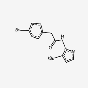 CC(C)(C)c1ccnn1NC(=O)Cc1ccc(Br)cc1